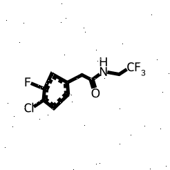 O=C(Cc1ccc(Cl)c(F)c1)NCC(F)(F)F